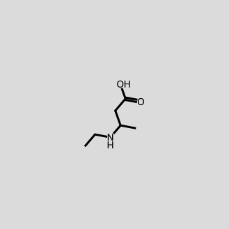 CCNC(C)CC(=O)O